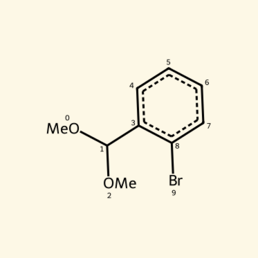 COC(OC)c1ccccc1Br